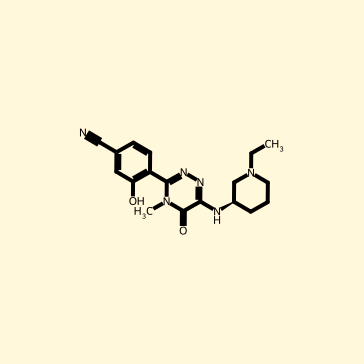 CCN1CCC[C@@H](Nc2nnc(-c3ccc(C#N)cc3O)n(C)c2=O)C1